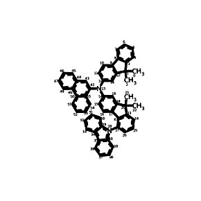 CC1(C)c2ccccc2-c2ccc(N(c3ccc4c(c3)C(C)(C)c3cccc(-n5c6ccccc6c6ccccc65)c3-4)c3cc4ccccc4c4ccccc34)cc21